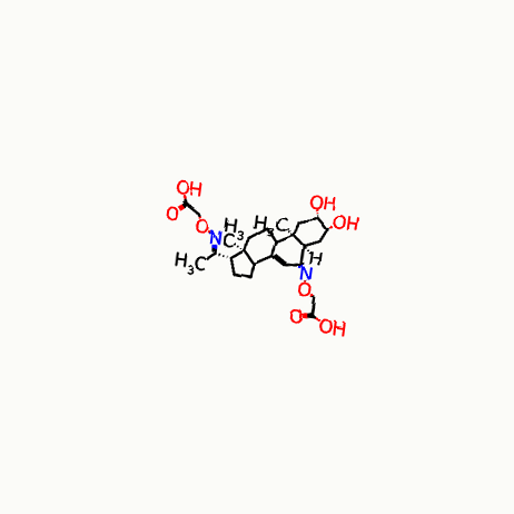 CC(=NOCC(=O)O)[C@H]1CCC2C3=CC(=NOCC(=O)O)[C@@H]4C[C@@H](O)[C@@H](O)C[C@]4(C)C3CC[C@@]21C